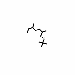 CCC(C)CCC(C)OOC(C)(C)C